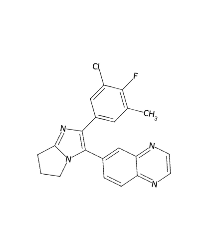 Cc1cc(-c2nc3n(c2-c2ccc4nccnc4c2)CCC3)cc(Cl)c1F